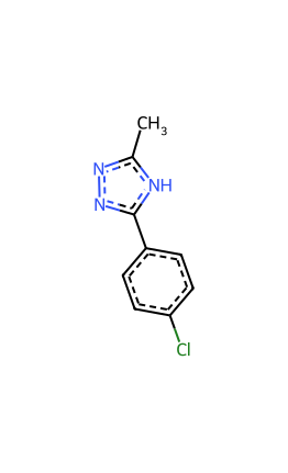 Cc1nnc(-c2ccc(Cl)cc2)[nH]1